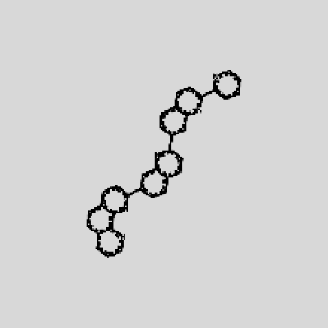 c1ccc(-c2ccc3ccc(-c4ccc5ccc(-c6ccc7ccc8cccnc8c7n6)cc5n4)cc3n2)nc1